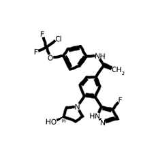 C=C(Nc1ccc(OC(F)(F)Cl)cc1)c1ccc(N2CC[C@@H](O)C2)c(-c2[nH]ncc2F)c1